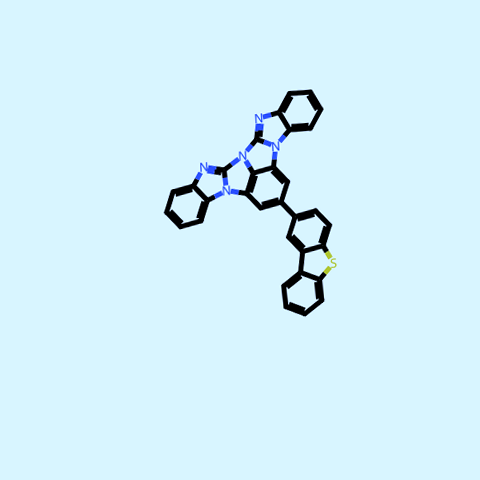 c1ccc2c(c1)nc1n2c2cc(-c3ccc4sc5ccccc5c4c3)cc3c2n1c1nc2ccccc2n31